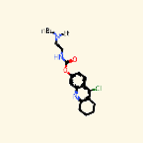 CCCCN(CC)CCNC(=O)Oc1ccc2c(Cl)c3c(nc2c1)CCCC3